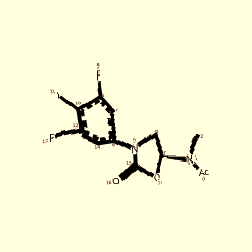 CC(=O)N(C)[C@@H]1CN(c2cc(F)c(I)c(F)c2)C(=O)O1